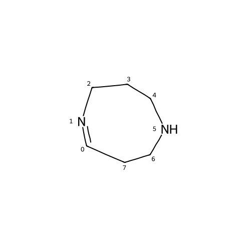 C1=N\CCCNCC/1